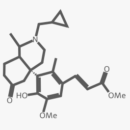 COC(=O)/C=C/c1cc(OC)c(O)c([C@@]23CCN(CC4CC4)C(C)C2CCC(=O)C3)c1C